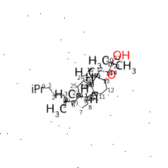 CC(C)CCC[C@@H](C)[C@H]1CC[C@H]2[C@@H]3CCC(=O)[C@](C)(CCC(C)(C)O)[C@H]3CC[C@]12C